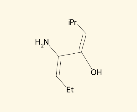 CC/C=C(N)\C(O)=C/C(C)C